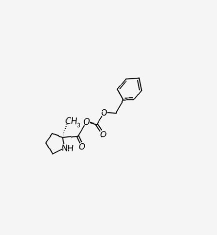 C[C@@]1(C(=O)OC(=O)OCc2ccccc2)CCCN1